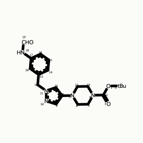 CC(C)(C)OC(=O)N1CCN(c2cnn(Cc3cccc(NC=O)c3)c2)CC1